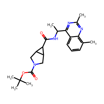 Cc1nc(C(C)NC(=O)C2C3CN(C(=O)OC(C)(C)C)CC32)c2cccc(C)c2n1